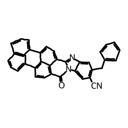 N#Cc1cc2c(cc1Cc1ccccc1)nc1c3ccc(-c4ccccc4)c4c(-c5ccccc5)ccc(c(=O)n21)c43